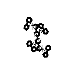 c1cc(-c2cnc(-c3cc(-n4c5ccccc5c5ccccc54)c(-c4cccc(-n5c6ccccc6c6ccccc65)n4)cn3)cc2-n2c3ccccc3c3ccccc32)nc(-n2c3ccccc3c3ccccc32)c1